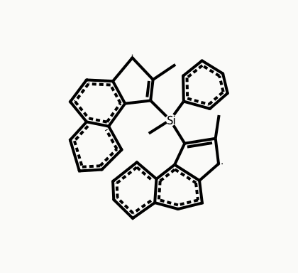 CC1=C([Si](C)(C2=C(C)[CH]c3ccc4ccccc4c32)c2ccccc2)c2c(ccc3ccccc23)[CH]1